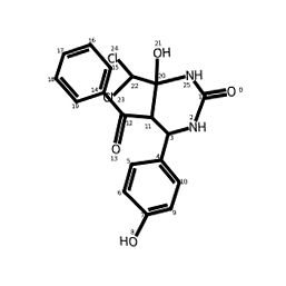 O=C1NC(c2ccc(O)cc2)C(C(=O)c2ccccc2)C(O)(C(Cl)Cl)N1